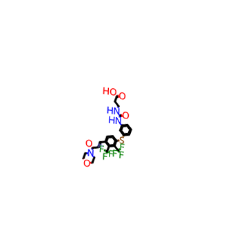 O=C(O)CCNC(=O)Nc1cccc(Sc2ccc(/C=C/C(=O)N3CCOCC3)c(C(F)(F)F)c2C(F)(F)F)c1